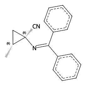 C[C@@H]1C[C@@]1(C#N)N=C(c1ccccc1)c1ccccc1